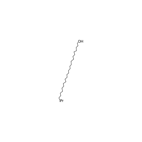 CC(C)CCCCCCCCCCCCCCCCCCCCCCCCCO